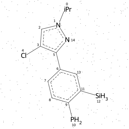 CC(C)n1cc(Cl)c(-c2ccc(P)c([SiH3])c2)n1